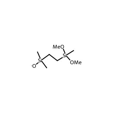 CO[Si](C)(CC[Si](C)(C)[O])OC